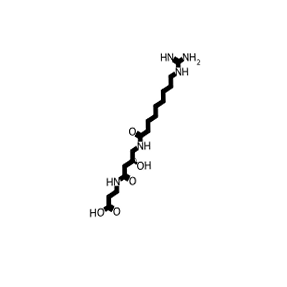 N=C(N)NCCCCCCCCC(=O)NC[C@@H](O)CC(=O)NCCC(=O)O